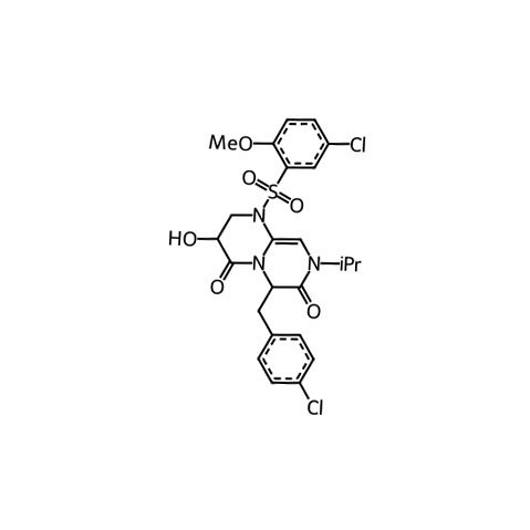 COc1ccc(Cl)cc1S(=O)(=O)N1CC(O)C(=O)N2C1=CN(C(C)C)C(=O)C2Cc1ccc(Cl)cc1